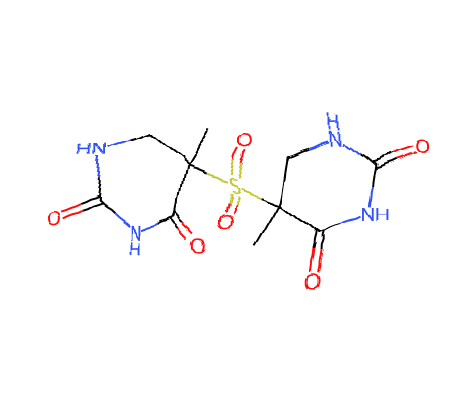 CC1(S(=O)(=O)C2(C)CNC(=O)NC2=O)CNC(=O)NC1=O